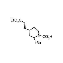 CCOC(=O)C=CC1CCN(C(=O)O)C(C(C)(C)C)C1